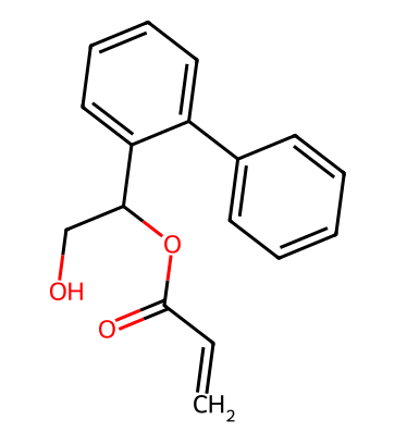 C=CC(=O)OC(CO)c1ccccc1-c1ccccc1